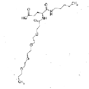 CCCCCNC(=O)[C@H](CCC(=O)O)NC(=O)CCOCCOCCOCCOCCC